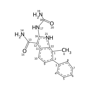 Cc1c(-c2ccccc2)ccc2c(C(N)=O)c(NC(N)=O)[nH]c12